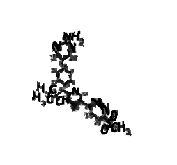 CC(C)(C)C(c1ccc(-c2cnc(N)nc2)cc1)c1ccc(-c2ccc(S(C)(=O)=O)nn2)cn1